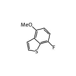 COc1ccc(F)c2sccc12